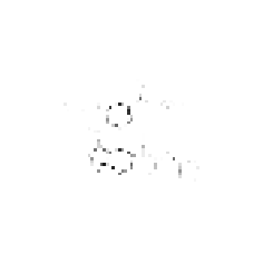 COC(=O)c1ccc(C(C)c2c[nH]c3ccc(NC(=O)NC4CCCC4)cc23)c(OC)c1